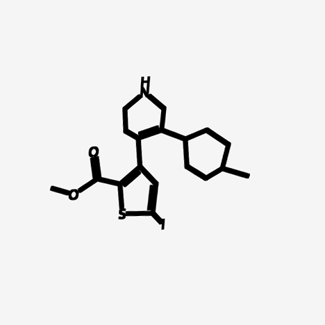 COC(=O)c1sc(I)cc1C1=C(C2CCC(C)CC2)CNCC1